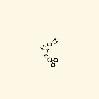 O=C(O)CN(CCN(CC(=O)O)CC(COP(=O)(O)OC1CCC(c2ccccc2)(c2ccccc2)CC1)N(CC(=O)O)CC(=O)O)CC(=O)O